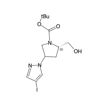 CC(C)(C)OC(=O)N1CC(n2cc(I)cn2)C[C@H]1CO